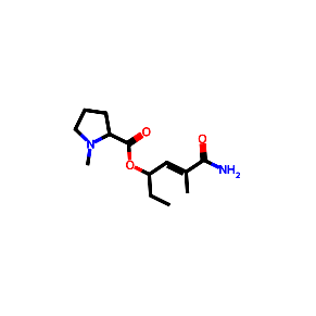 CCC(C=C(C)C(N)=O)OC(=O)C1CCCN1C